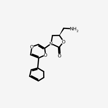 NC[C@@H]1CN(C2=COC=C(C3=CC=CCC3)O2)C(=O)O1